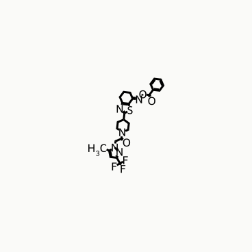 Cc1cc(C(F)(F)F)nn1CC(=O)N1CCC(c2nc3c(s2)C(=NOC(=O)c2ccccc2)CCC3)CC1